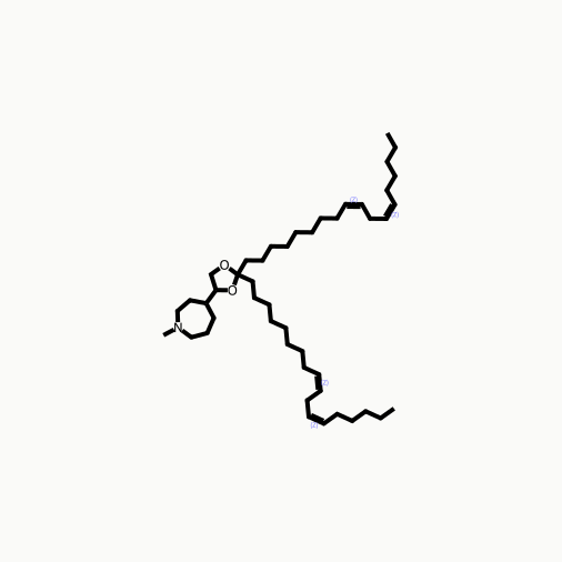 CCCCC/C=C\C/C=C\CCCCCCCCC1(CCCCCCCC/C=C\C/C=C\CCCCC)OCC(C2CCCN(C)CC2)O1